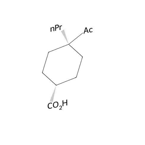 CCC[C@]1(C(C)=O)CC[C@H](C(=O)O)CC1